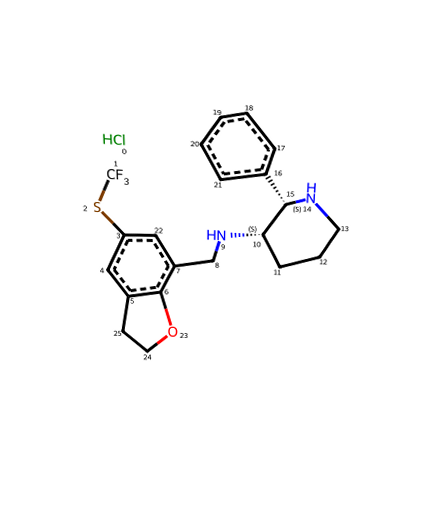 Cl.FC(F)(F)Sc1cc2c(c(CN[C@H]3CCCN[C@H]3c3ccccc3)c1)OCC2